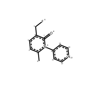 Cc1ccc(CF)c(=O)n1-c1ccncc1